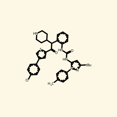 Cc1ccc(-n2nc(C(C)(C)C)cc2NC(=O)Nc2ccccc2C(C(=O)c2cc(-c3ccc(Cl)cc3)cs2)C2CCNCC2)cc1